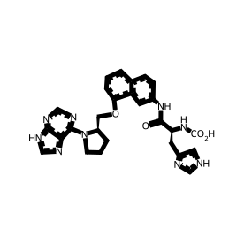 O=C(O)N[C@@H](Cc1c[nH]cn1)C(=O)Nc1ccc2cccc(OC[C@H]3CCCN3c3ncnc4[nH]cnc34)c2c1